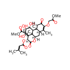 COC(=O)COC1=C(C)[C@@H]2C[C@H]3OC(=O)[C@H](OC(=O)C=C(C)C)[C@H]4[C@@](O)(C(=O)OC)[C@@H](O)[C@H](O)C([C@@]34C)[C@@]2(C)CC1=O